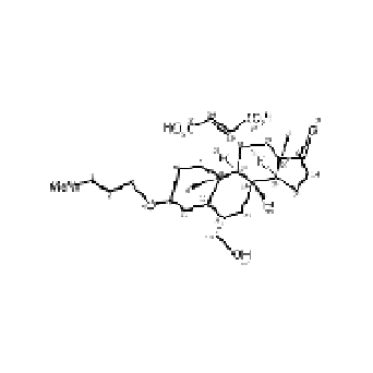 CNCCCO[C@H]1CC[C@@]2(C)C(C1)[C@@H](CO)C[C@@H]1[C@@H]2CC[C@]2(C)C(=O)CC[C@@H]12.O=C(O)/C=C/C(=O)O